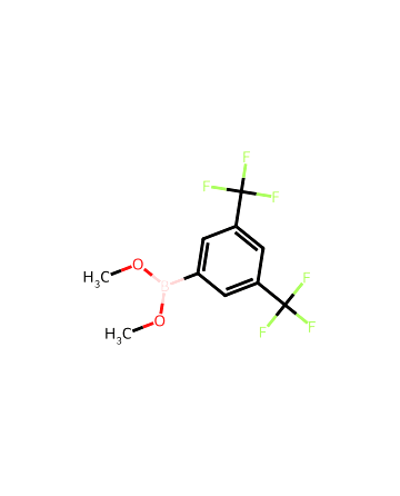 COB(OC)c1cc(C(F)(F)F)cc(C(F)(F)F)c1